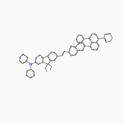 CCC1(CC)c2cc(/C=C/c3ccc4cc(-c5cccc6c(C7=CCCC=C7)ccc(-c7ccccc7)c56)ccc4c3)ccc2-c2ccc(N(c3ccccc3)c3ccccc3)cc21